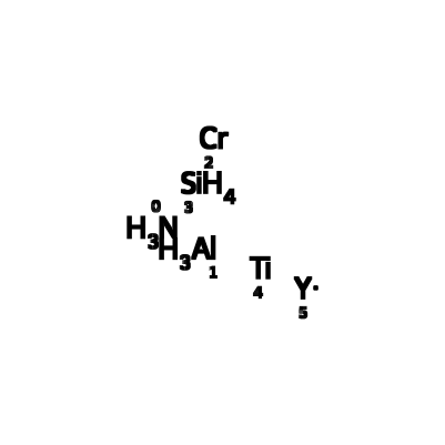 N.[AlH3].[Cr].[SiH4].[Ti].[Y]